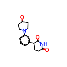 O=C1CCN(c2cccc(C3CCC(=O)NC3=O)c2)CC1